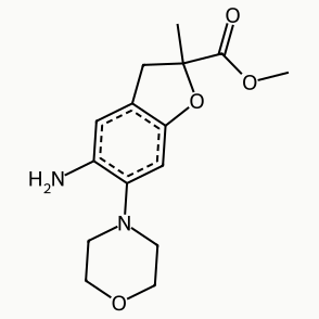 COC(=O)C1(C)Cc2cc(N)c(N3CCOCC3)cc2O1